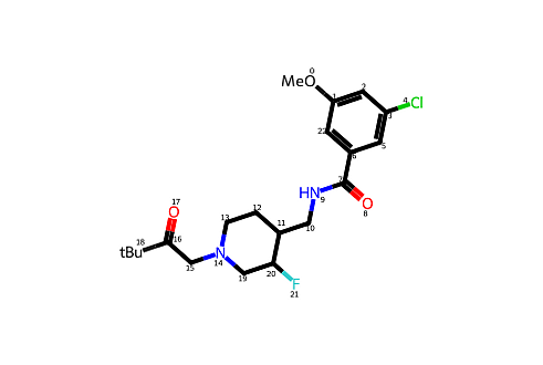 COc1cc(Cl)cc(C(=O)NCC2CCN(CC(=O)C(C)(C)C)CC2F)c1